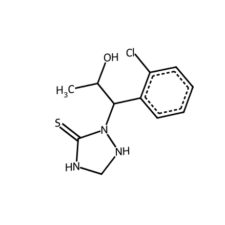 CC(O)C(c1ccccc1Cl)N1NCNC1=S